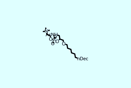 CCCCCCCCCCCCCCCCOCC(CNC(C)=O)OP(=O)([O-])OCC[N+](C)(C)C